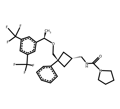 C[C@@H](OC[C@]1(c2ccccc2)C[C@@H](CNC(=O)N2CCCC2)C1)c1cc(C(F)(F)F)cc(C(F)(F)F)c1